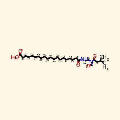 CC(C)CC(=O)N(C=O)CCNC(=O)CCCCCCCCCCCCCCCCCCC(=O)O